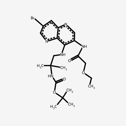 CCOCC(=O)Nc1cnc2cc(Br)cnc2c1NCC(C)(C)NC(=O)OC(C)(C)C